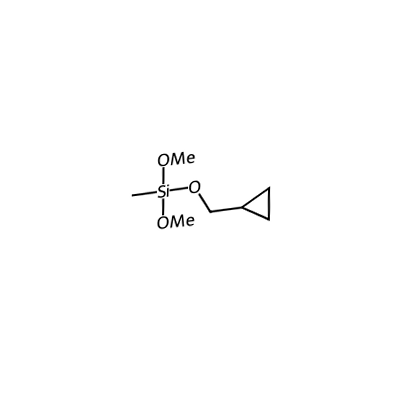 CO[Si](C)(OC)OCC1CC1